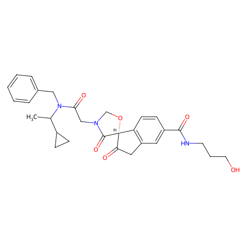 CC(C1CC1)N(Cc1ccccc1)C(=O)CN1CO[C@]2(C(=O)Cc3cc(C(=O)NCCCO)ccc32)C1=O